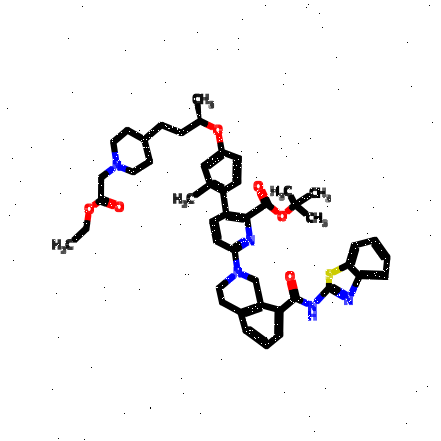 CCOC(=O)CN1CCC(CC[C@@H](C)Oc2ccc(-c3ccc(N4CCc5cccc(C(=O)Nc6nc7ccccc7s6)c5C4)nc3C(=O)OC(C)(C)C)c(C)c2)CC1